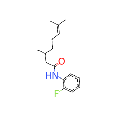 CC(C)=CCCC(C)CC(=O)Nc1ccccc1F